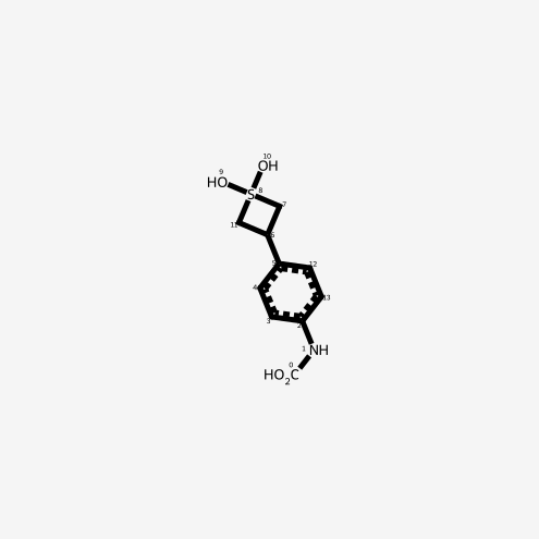 O=C(O)Nc1ccc(C2CS(O)(O)C2)cc1